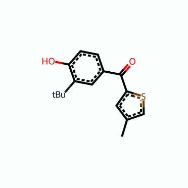 Cc1csc(C(=O)c2ccc(O)c(C(C)(C)C)c2)c1